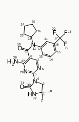 CC1(C)CN(c2ncc(C(=O)N(c3cccc(C(F)(F)F)c3)C3CCCC3)c(N)n2)C(=O)N1